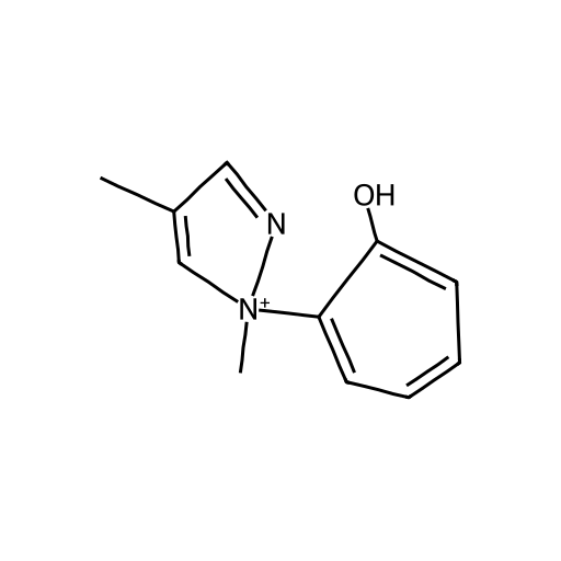 CC1=C[N+](C)(c2ccccc2O)N=C1